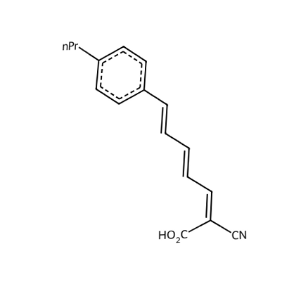 CCCc1ccc(C=CC=CC=C(C#N)C(=O)O)cc1